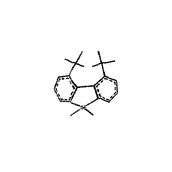 CC(C)(C)c1cccc2c1-c1c(C(C)(C)C)cccc1[Si]2(C)C